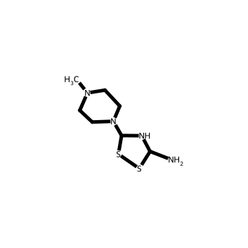 CN1CCN(C2NC(N)SS2)CC1